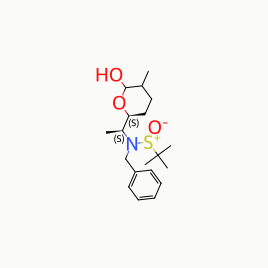 CC1CC[C@@H]([C@H](C)N(Cc2ccccc2)[S+]([O-])C(C)(C)C)OC1O